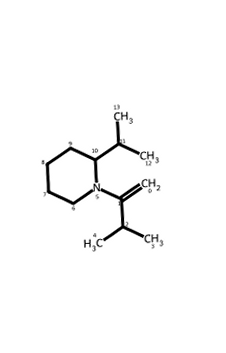 C=C(C(C)C)N1CCCCC1C(C)C